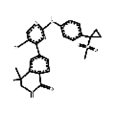 CC1(C)CNC(=O)c2ccc(-c3nc(Nc4ccc(C5(S(C)(=O)=O)CC5)cc4)ncc3Cl)cc21